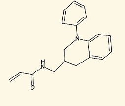 C=CC(=O)NCC1Cc2ccccc2N(c2ccccc2)C1